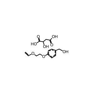 C=COCCOc1ccc(CO)cc1.O=C(O)CC(O)C(=O)O